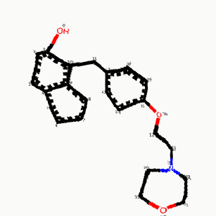 Oc1ccc2ccccc2c1Cc1ccc(OCCN2CCOCC2)cc1